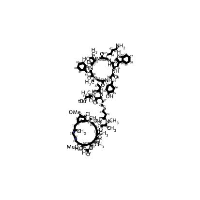 COc1cc2cc(c1Cl)N(C)C(=O)C[C@H](OC(=O)[C@H](C)N(C)C(=O)CCSSC[C@H](NC(=O)CC[C@H]1C(=O)N[C@@H](Cc3ccc(O)cc3)C(=O)N[C@H](Cc3c[nH]c4ccccc34)C(=O)N[C@@H](CCCCN)C(=O)N[C@@H]([C@@H](C)O)C(=O)N[C@@H](Cc3ccccc3)C(=O)N1C)C(=O)NC(C)(C)CC(C)(C)C)[C@]1(C)O[C@H]1[C@H](C)[C@@H]1C[C@@](O)(NC(=O)O1)[C@H](OC)/C=C/C=C(\C)C2